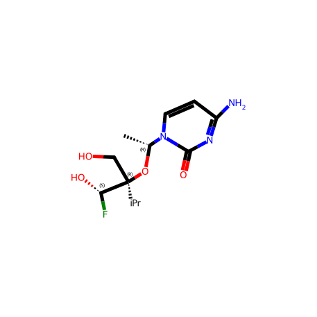 CC(C)[C@](CO)(O[C@H](C)n1ccc(N)nc1=O)[C@@H](O)F